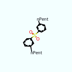 CCCCCc1cccc(S(=O)(=O)c2cccc(CCCCC)c2)c1